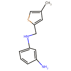 Cc1csc(CNc2cccc(N)c2)c1